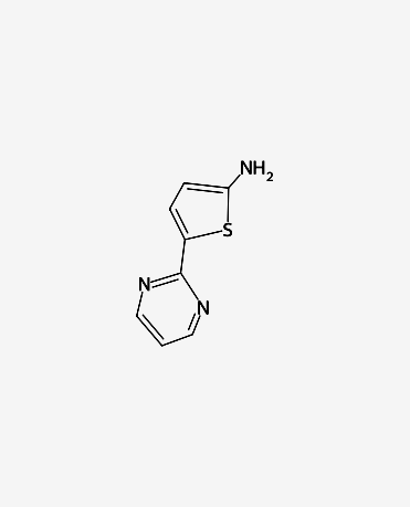 Nc1ccc(-c2ncccn2)s1